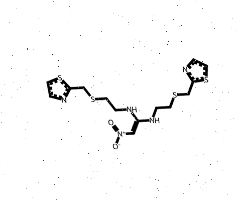 O=[N+]([O-])C=C(NCCSCc1nccs1)NCCSCc1nccs1